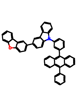 c1ccc(-c2c3ccccc3c(-c3cccc(-n4c5ccccc5c5cc(-c6ccc7oc8ccccc8c7c6)ccc54)c3)c3ccccc23)cc1